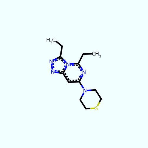 CCc1nnc2cc(N3CCSCC3)nc(CC)n12